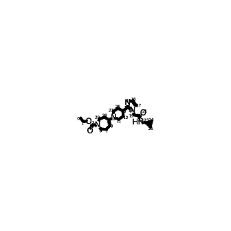 CCOC(=O)N1CCCC(N2CCC(c3nccn3CC(=O)NC3CC3)CC2)CC1